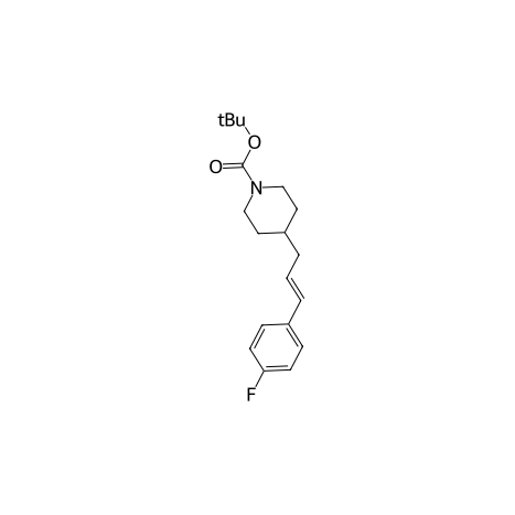 CC(C)(C)OC(=O)N1CCC(C/C=C/c2ccc(F)cc2)CC1